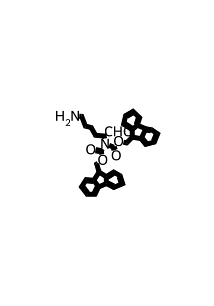 NCCCC[C@@H]([C]=O)N(C(=O)OCC1c2ccccc2-c2ccccc21)C(=O)OCC1c2ccccc2-c2ccccc21